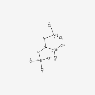 Cl[SiH](Cl)CC(C[Si](Cl)(Cl)Cl)[SiH](Cl)Cl